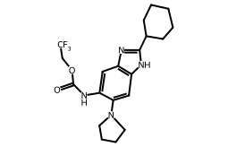 O=C(Nc1cc2nc(C3CCCCC3)[nH]c2cc1N1CCCC1)OCC(F)(F)F